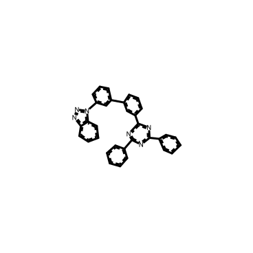 c1ccc(-c2nc(-c3ccccc3)nc(-c3cccc(-c4cccc(-n5nnc6ccccc65)c4)c3)n2)cc1